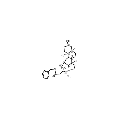 C[C@H](CCc1ncc2ccccc2n1)[C@H]1CC[C@H]2[C@@H]3CC[C@@H]4C[C@H](O)CC[C@]4(C)C3C[C@H](O)[C@]12C